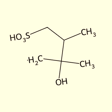 [CH2]C(C)(O)C(C)CS(=O)(=O)O